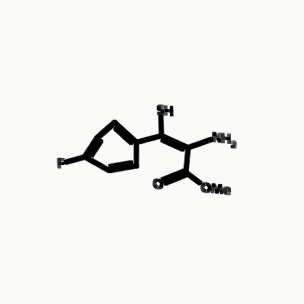 COC(=O)/C(N)=C(/S)c1ccc(F)cc1